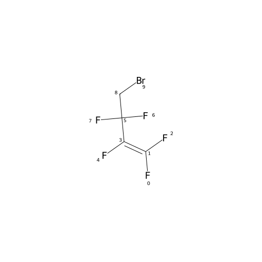 FC(F)=C(F)C(F)(F)CBr